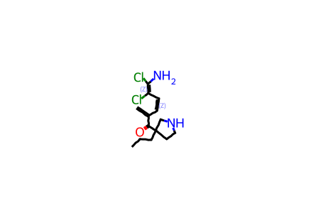 C=C(/C=C\C(Cl)=C(/N)Cl)C(=O)C1(CCC)CCNC1